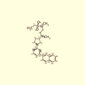 CCS(=O)(=O)N(C)CCN(C)C1CCN(c2nccc(-c3ccc4ccccc4c3)n2)C1